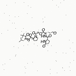 CC(C)C[C@H](C(=O)C(C)(C)C)N(C)C(=O)[C@@H]1CCCN1C(=O)[C@H](C)OC(=O)[C@H](CCC=O)NC(=O)C1CCC(=O)N1